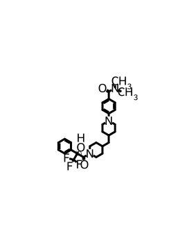 CN(C)C(=O)c1ccc(N2CCC(CC3CCN(C(=O)[C@@](O)(c4ccccc4)C(F)(F)F)CC3)CC2)cc1